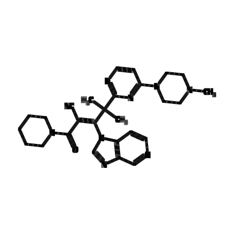 CN1CCN(c2ccnc(C(C)(C)C(=C(C#N)C(=O)N3CCCCC3)n3cnc4cnccc43)n2)CC1